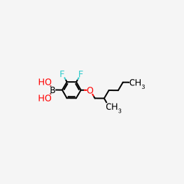 CCCCC(C)COc1ccc(B(O)O)c(F)c1F